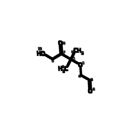 CC(C)(OCC=O)C(=O)CO